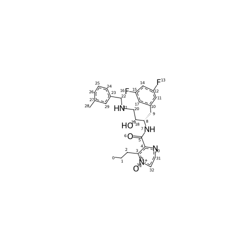 CCCc1c(C(=O)N[C@@H](Cc2cc(F)cc(F)c2)[C@H](O)CNCc2cccc(C)c2)ncc[n+]1[O-]